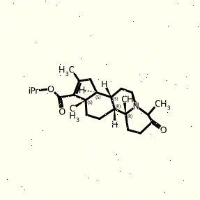 CC1=C(C(=O)OC(C)C)[C@@]2(C)CC[C@@H]3[C@@H](CCN4C(C)C(=O)CC[C@]34C)[C@@H]2C1